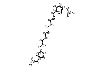 CN(C)Cc1ccc(CSCCCSCCCSCc2ccc(CN(C)C)o2)o1